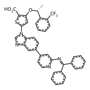 C[C@@H](Oc1cc(-n2cnc3cc(-c4ccnc(N=C(c5ccccc5)c5ccccc5)c4)ccc32)sc1C(=O)O)c1ccccc1C(F)(F)F